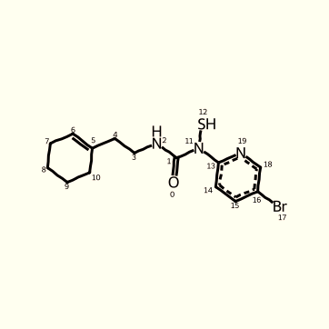 O=C(NCCC1=CCCCC1)N(S)c1ccc(Br)cn1